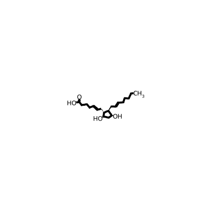 CCCCCC=CC[C@@H]1[C@@H](CC=CCCCC(=O)O)[C@@H](O)C[C@H]1O